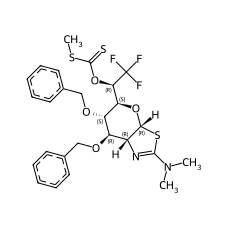 CSC(=S)O[C@H]([C@H]1O[C@@H]2SC(N(C)C)=N[C@@H]2[C@@H](OCc2ccccc2)[C@@H]1OCc1ccccc1)C(F)(F)F